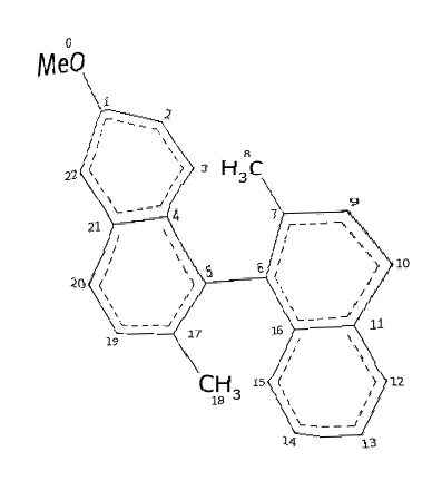 COc1ccc2c(-c3c(C)ccc4ccccc34)c(C)ccc2c1